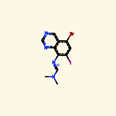 CN(C)/C=N/c1c(I)cc(Br)c2cncnc12